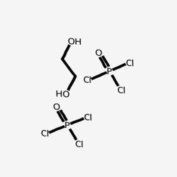 O=P(Cl)(Cl)Cl.O=P(Cl)(Cl)Cl.OCCO